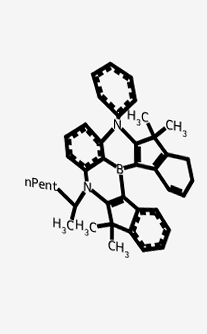 CCCCCC(C)N1C2=C(B3C4=C(N(c5ccccc5)c5cccc1c53)C(C)(C)C1=C4C=CCC1)c1ccccc1C2(C)C